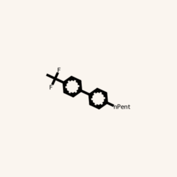 CCCCCc1ccc(-c2ccc(C(C)(F)F)cc2)cc1